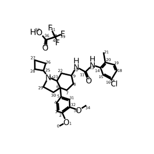 COc1ccc(C23CCC(NC(=O)Nc4cc(Cl)ccc4C)CC2N(C2CCC2)CC3)cc1OC.O=C(O)C(F)(F)F